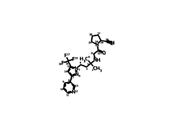 CC(C)(CCn1nc(-c2cccnc2)cc1C(F)(F)F)NCC(=O)N1CCC[C@H]1C#N